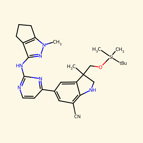 Cn1nc(Nc2nccc(-c3cc(C#N)c4c(c3)C(C)(CO[Si](C)(C)C(C)(C)C)CN4)n2)c2c1CCC2